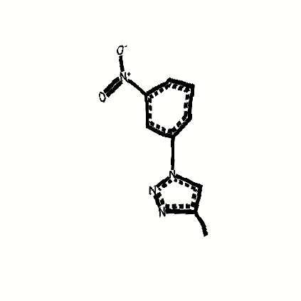 Cc1cn(-c2cccc([N+](=O)[O-])c2)nn1